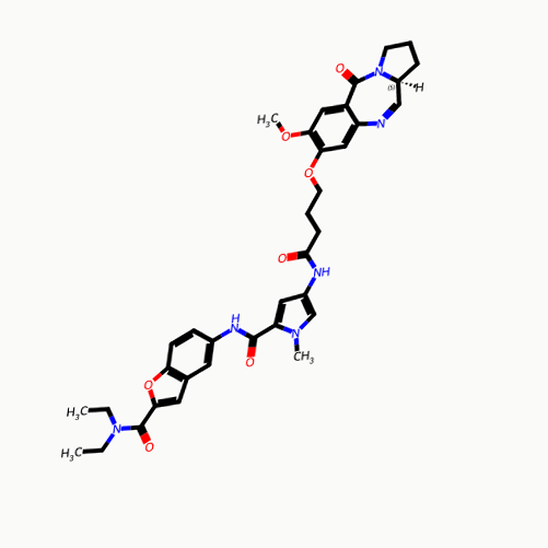 CCN(CC)C(=O)c1cc2cc(NC(=O)c3cc(NC(=O)CCCOc4cc5c(cc4OC)C(=O)N4CCC[C@H]4C=N5)cn3C)ccc2o1